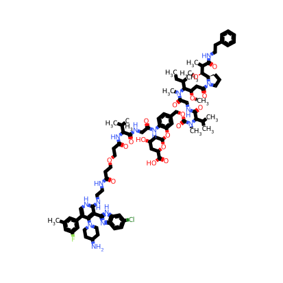 CCC(C)C(C(CC(=O)N1CCC[C@H]1[C@H](OC)C(C)C(=O)NCCc1ccccc1)OC)N(C)C(=O)CNC(=O)C(C(C)C)N(C)C(=O)OCc1ccc(NC(=O)CNC(=O)C(NC(=O)CCOCCC(=O)NCCNC2NC=C(c3cc(C)cc(F)c3)C(N3CCC(N)CC3)=C2c2nc3ccc(Cl)cc3[nH]2)C(C)C)c(OC2CC(O)CC(C(=O)O)O2)c1